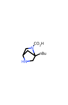 CCCCC12CNC(CN1C(=O)O)C2